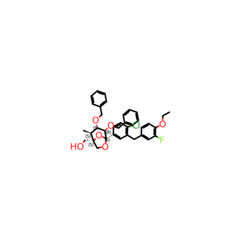 CCOc1ccc(Cc2cc([C@]34OC[C@](CO)(O3)[C@@H](C)[C@H](OCc3ccccc3)[C@H]4OCc3ccccc3)ccc2Cl)cc1F